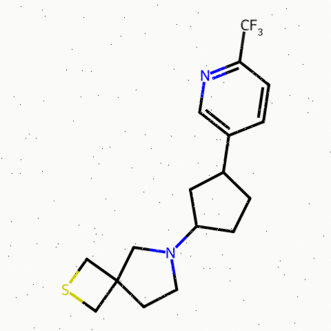 FC(F)(F)c1ccc(C2CCC(N3CCC4(CSC4)C3)C2)cn1